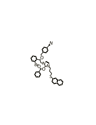 N#Cc1ccc(COC(CN2C=CN(CCCSc3ccc4ccccc4c3)C2OC(=O)c2ccccc2)c2ccccc2Br)cc1